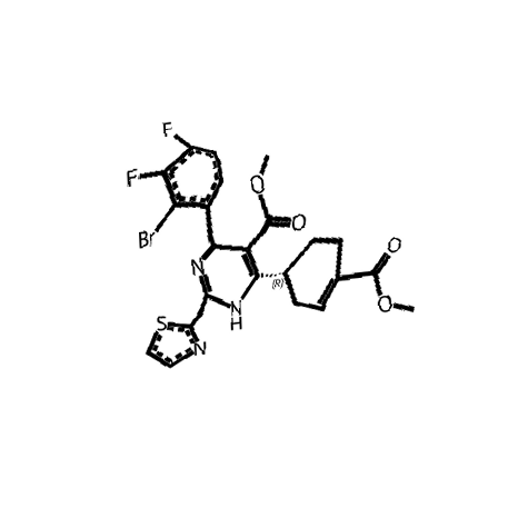 COC(=O)C1=CC[C@H](C2=C(C(=O)OC)C(c3ccc(F)c(F)c3Br)N=C(c3nccs3)N2)CC1